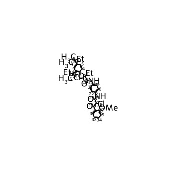 CCC(Oc1ccc(C(C)(C)CC)cc1C(C)(C)CC)C(=O)Nc1ccc(NC(=O)C(Cl)C(=O)c2ccccc2OC)cc1